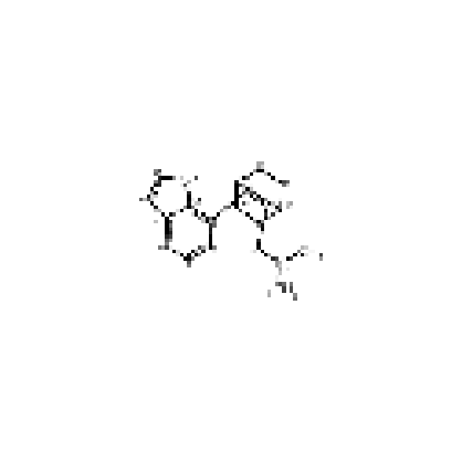 CN(C)CC1=C(c2cccc3ccsc23)C2CCC1CC2